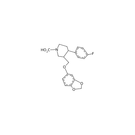 O=C(O)N1CCC(c2ccc(F)cc2)C(COc2ccc3c(c2)OCO3)C1